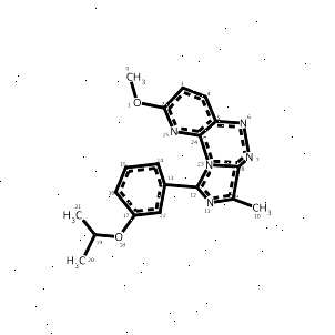 COc1ccc2nnc3c(C)nc(-c4cccc(OC(C)C)c4)n3c2n1